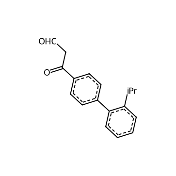 CC(C)c1ccccc1-c1ccc(C(=O)CC=O)cc1